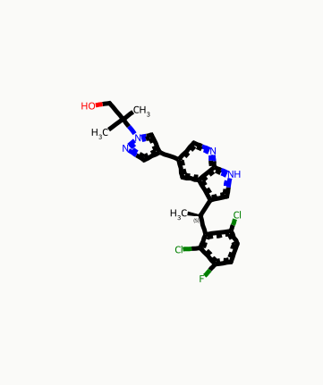 C[C@H](c1c(Cl)ccc(F)c1Cl)c1c[nH]c2ncc(-c3cnn(C(C)(C)CO)c3)cc12